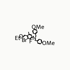 CCO/C=C/c1c(C)cc(N(Cc2ccc(OC)cc2)Cc2ccc(OC)cc2)c(F)c1Br